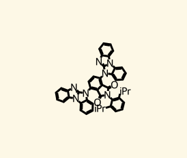 CC(C)c1cccc(C(C)C)c1N1C(=O)c2c(-n3c4ccccc4n4c5ccccc5nc34)ccc(-n3c4ccccc4n4c5ccccc5nc34)c2C1=O